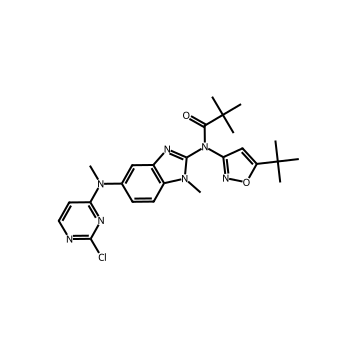 CN(c1ccc2c(c1)nc(N(C(=O)C(C)(C)C)c1cc(C(C)(C)C)on1)n2C)c1ccnc(Cl)n1